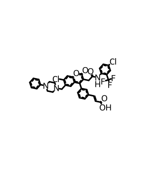 O=C(O)/C=C/c1cccc(-c2c(CC(=O)Nc3ccc(Cl)cc3C(F)(F)F)c(=O)oc3cc(Cl)c(CN4CCN(c5ccccc5)CC4)cc23)c1